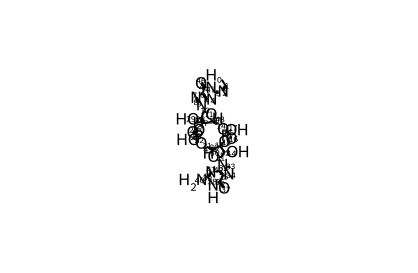 C/C=N\c1nc2c(ncn2[C@@H]2O[C@@H]3COP(=O)(O)OC4[C@@H](COP(=O)(O)O[C@@H]3C2O)O[C@@H](n2cnc3c(=O)[nH]c(N)nc32)[C@H]4O)c(=O)[nH]1